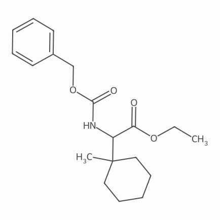 CCOC(=O)C(NC(=O)OCc1ccccc1)C1(C)CCCCC1